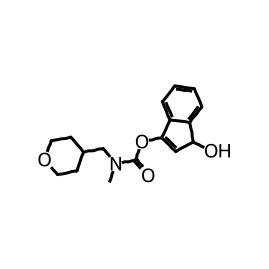 CN(CC1CCOCC1)C(=O)OC1=CC(O)c2ccccc21